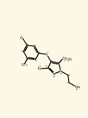 CCOC(=O)c1c(Sc2cc(Cl)cc(Cl)c2)c(CC)nn1CCO